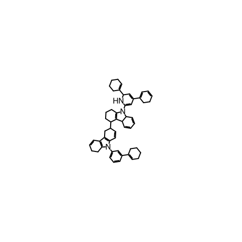 C1=CCCC(C2=CC(C3=CCCCC3)NC(N3C4=C(C5C=CC=CC53)C(C3C=Cc5c(c6c(n5-c5cccc(C7=CCCCC7)c5)CCC=C6)C3)CCC4)=C2)=C1